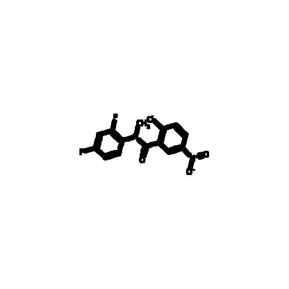 CN(C(=O)c1cc([N+](=O)[O-])ccc1Cl)c1ccc(F)cc1F